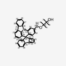 CC(C)(O)C(C)(C)OBc1ccc2c(c1)-n1c3ccccc3c3cccc(c31)C21c2ccccc2-c2ccccc21